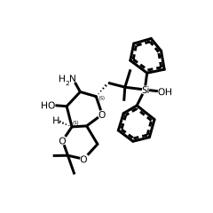 CC1(C)OCC2O[C@@H](CC(C)(C)[Si](O)(c3ccccc3)c3ccccc3)C(N)C(O)[C@@H]2O1